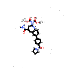 CN(C)C(=O)C1=Cc2cc(-c3ccc(C(=O)N4CCCC4)cc3)ccc2N=C(N(C(=O)OC(C)(C)C)C(=O)OC(C)(C)C)C1